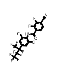 N#Cc1ccc(C(=O)Nc2c(Cl)cc(C(F)(C(F)(F)F)C(F)(F)C(F)(F)F)cc2Cl)c(F)c1F